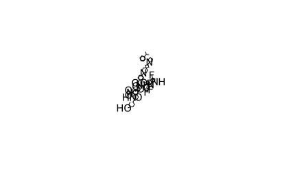 CC(C)c1ccccc1[C@@H]1CCCN1C1CC2(CCN(c3ccc(C(=O)NS(=O)(=O)c4cc5c(c([N+](=O)[O-])c4)N[C@@H]([C@H]4CC[C@](C)(O)CC4)CO5)c(Oc4cc5c(F)c[nH]c5nc4OC(F)F)c3)CC2)C1